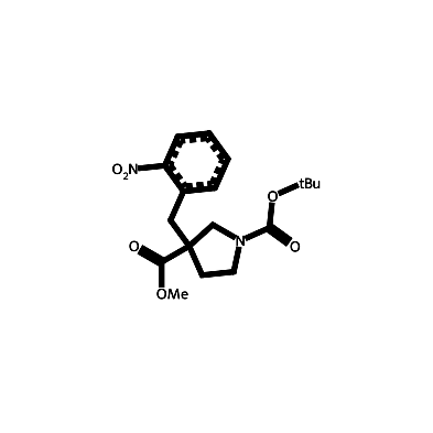 COC(=O)C1(Cc2ccccc2[N+](=O)[O-])CCN(C(=O)OC(C)(C)C)C1